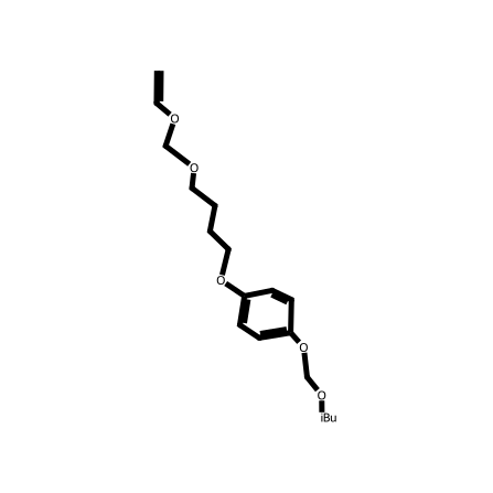 C=COCOCCCCOc1ccc(OCOC(C)CC)cc1